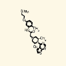 CNCCOc1ccc(C)c(NC(=O)CN2C[C@@H](C)N(c3ncnc4sccc34)[C@@H](C)C2)c1